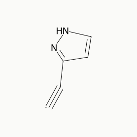 [C]#Cc1cc[nH]n1